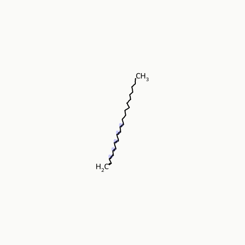 C=C/C=C/C=C/C=C/C=C/C=C/CCCCCCCCCCCC